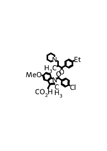 CCc1ccc(C(=O)C(C)CN2CCCCC2)cc1.COc1ccc2c(c1)c(CC(=O)O)c(C)n2C(=O)c1ccc(Cl)cc1